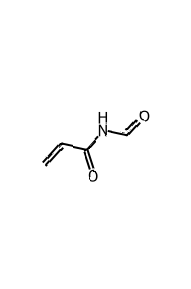 C=CC(=O)NC=O